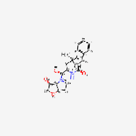 CC(C)(C)CC(NC(=O)CCc1ccccc1)C(=O)N1CCC2OCC(=O)C21